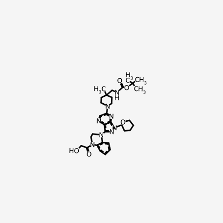 CC1(CNC(=O)OC(C)(C)C)CCN(c2cnc3c(N4CCN(C(=O)CO)c5ccccc54)nn(C4CCCCO4)c3n2)CC1